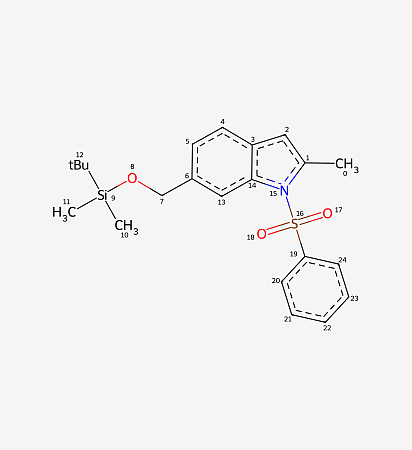 Cc1cc2ccc(CO[Si](C)(C)C(C)(C)C)cc2n1S(=O)(=O)c1ccccc1